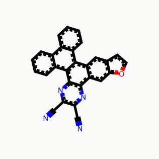 N#Cc1nc2c3cc4occc4cc3c3c4ccccc4c4ccccc4c3c2nc1C#N